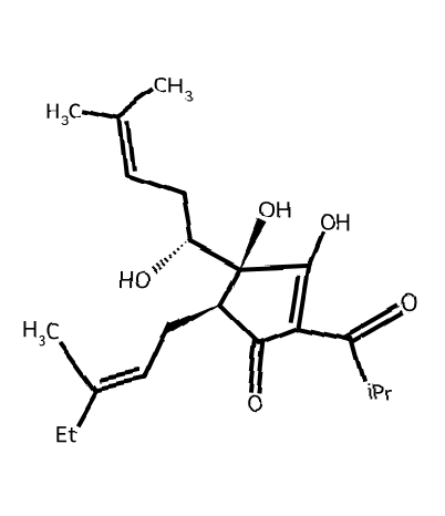 CCC(C)=CC[C@@H]1C(=O)C(C(=O)C(C)C)=C(O)[C@@]1(O)[C@H](O)CC=C(C)C